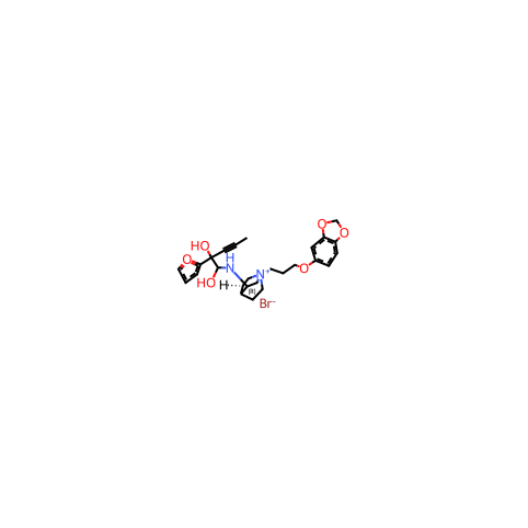 CC#CC(O)(c1ccco1)C(O)N[C@H]1C[N+]2(CCCOc3ccc4c(c3)OCO4)CCC1CC2.[Br-]